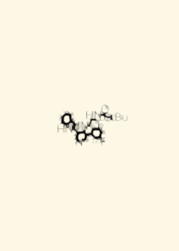 CC(C)(C)OC(=O)NCCCNc1c(-c2cc(F)cc(F)c2)cncc1-c1cc2ccccc2[nH]1